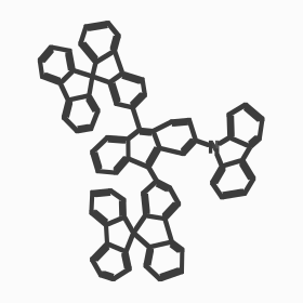 c1ccc2c(c1)-c1ccccc1C21c2ccccc2-c2ccc(-c3c4ccccc4c(-c4ccc5c(c4)C4(c6ccccc6-c6ccccc64)c4ccccc4-5)c4cc(-n5c6ccccc6c6ccccc65)ccc34)cc21